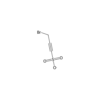 [O]S(=O)(=O)C#CCBr